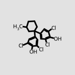 CC1CCCC(c2cc(Cl)c(O)c(Cl)c2)(c2cc(Cl)c(O)c(Cl)c2)C1